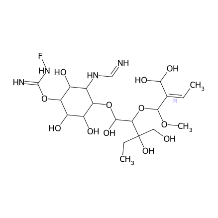 C/C=C(\C(O)O)C(OC)OC(C(O)OC1C(O)C(O)C(OC(=N)NF)C(O)C1NC=N)C(O)(CC)CO